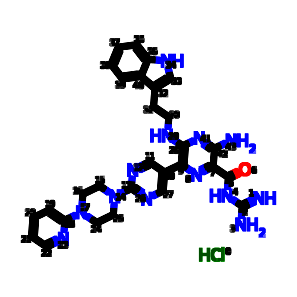 Cl.N=C(N)NC(=O)c1nc(-c2cnc(N3CCN(c4ccccn4)CC3)nc2)c(NCCc2c[nH]c3ccccc23)nc1N